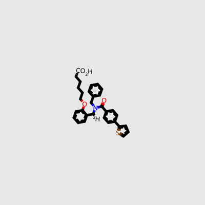 [2H]C(c1ccccc1OCCCCCC(=O)O)N(Cc1ccccc1)C(=O)c1ccc(-c2cccs2)cc1